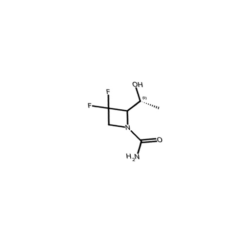 C[C@@H](O)C1N(C(N)=O)CC1(F)F